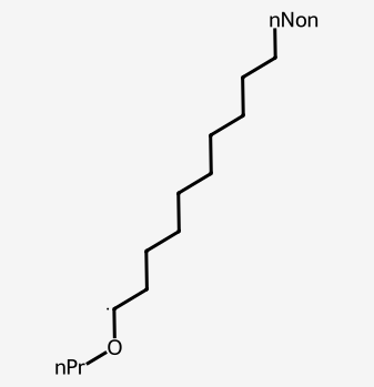 CCCCCCCCCCCCCCCCCC[CH]OCCC